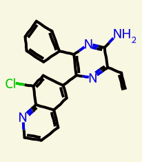 C=Cc1nc(-c2cc(Cl)c3ncccc3c2)c(-c2ccccc2)nc1N